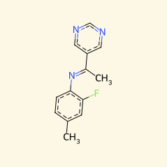 C/C(=N\c1ccc(C)cc1F)c1cncnc1